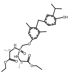 CCOC(=O)[C@H](C)NP(=O)(COc1cc(C)c(Cc2ccc(O)c(C(C)C)c2)c(C)c1)N[C@@H](C)C(=O)OCC